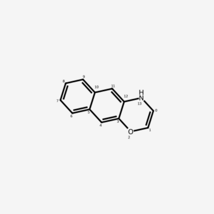 C1=COc2cc3ccccc3cc2N1